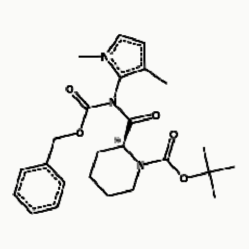 Cc1ccn(C)c1N(C(=O)OCc1ccccc1)C(=O)[C@@H]1CCCCN1C(=O)OC(C)(C)C